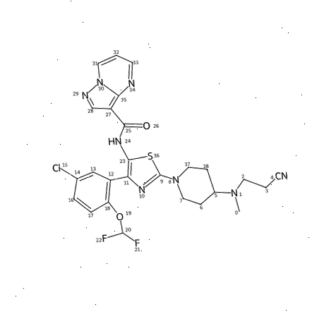 CN(CCC#N)C1CCN(c2nc(-c3cc(Cl)ccc3OC(F)F)c(NC(=O)c3cnn4cccnc34)s2)CC1